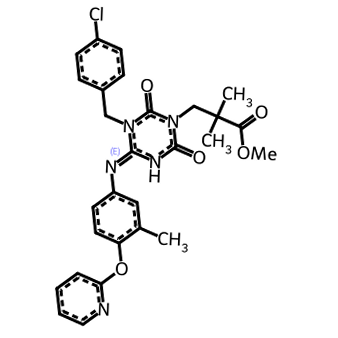 COC(=O)C(C)(C)Cn1c(=O)[nH]/c(=N\c2ccc(Oc3ccccn3)c(C)c2)n(Cc2ccc(Cl)cc2)c1=O